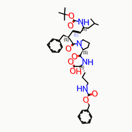 CC(C)C[C@@H](/C=C/[C@H](Cc1ccccc1)C(=O)N1CCC[C@H]1C(=O)N[C@H](CCCNC(=O)OCc1ccccc1)C(=O)O)NC(=O)OC(C)(C)C